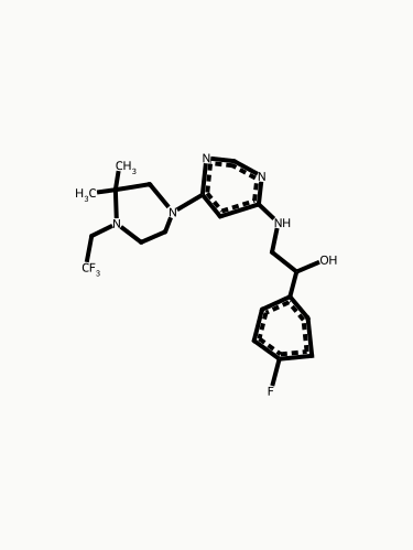 CC1(C)CN(c2cc(NCC(O)c3ccc(F)cc3)ncn2)CCN1CC(F)(F)F